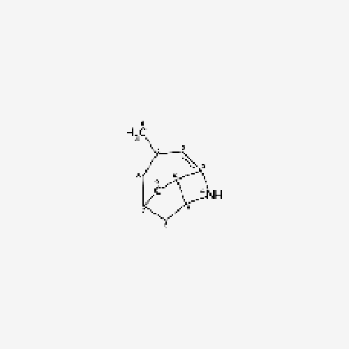 CC1C=C2NC3CC(C1)CC23